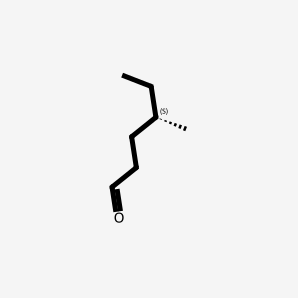 CC[C@H](C)CCC=O